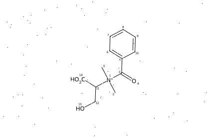 C[N+](C)(C(=O)c1ccccc1)C(CO)C(=O)O